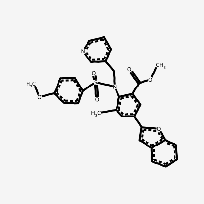 COC(=O)c1cc(-c2cc3ccccc3o2)cc(C)c1N(Cc1cccnc1)S(=O)(=O)c1ccc(OC)cc1